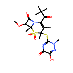 CO[C@H]1C(=O)N2C(C(=O)C(C)(C)C)=C(C)C(C)(Sc3nc(=O)c(O)nn3C)S(=O)(=O)[C@H]12